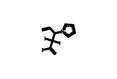 C=CC(n1cccc1)C(I)(I)C(=C)I